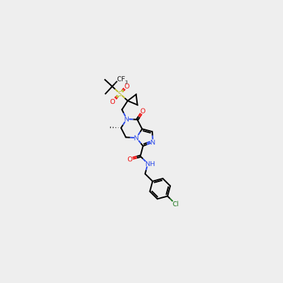 C[C@H]1Cn2c(cnc2C(=O)NCc2ccc(Cl)cc2)C(=O)N1CC1(S(=O)(=O)C(C)(C)C(F)(F)F)CC1